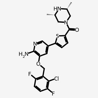 C[C@@H]1CN(C(=O)c2ccc(-c3cnc(N)c(OCc4c(F)ccc(F)c4Cl)c3)s2)C[C@H](C)N1